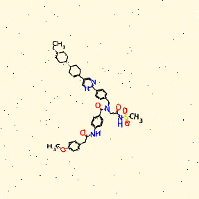 CC[C@H]1CC[C@H](C2CC=C(c3cnc(-c4ccc(CN(CC(=O)NS(C)(=O)=O)C(=O)c5ccc(NC(=O)Cc6ccc(OC)cc6)cc5)cc4)nc3)CC2)CC1